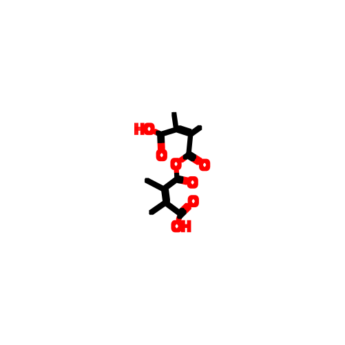 C/C(C(=O)O)=C(\C)C(=O)OC(=O)/C(C)=C(/C)C(=O)O